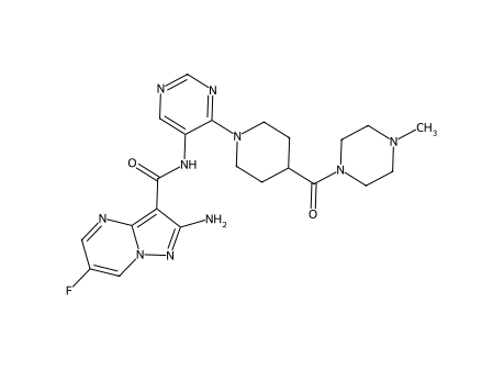 CN1CCN(C(=O)C2CCN(c3ncncc3NC(=O)c3c(N)nn4cc(F)cnc34)CC2)CC1